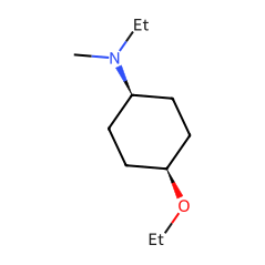 CCO[C@H]1CC[C@@H](N(C)CC)CC1